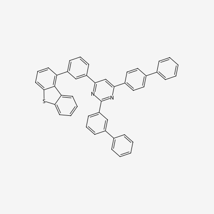 c1ccc(-c2ccc(-c3cc(-c4cccc(-c5cccc6sc7ccccc7c56)c4)nc(-c4cccc(-c5ccccc5)c4)n3)cc2)cc1